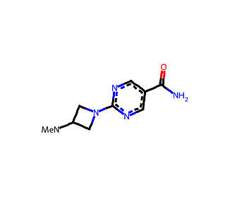 CNC1CN(c2ncc(C(N)=O)cn2)C1